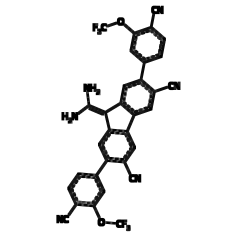 N#Cc1ccc(-c2cc3c(cc2C#N)-c2cc(C#N)c(-c4ccc(C#N)c(OC(F)(F)F)c4)cc2C3=C(N)N)cc1OC(F)(F)F